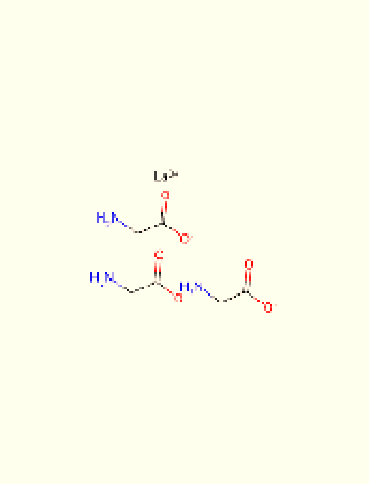 NCC(=O)[O-].NCC(=O)[O-].NCC(=O)[O-].[La+3]